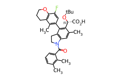 Cc1cccc(C(=O)N2CCc3c2cc(C)c([C@H](OC(C)(C)C)C(=O)O)c3-c2cc(F)c3c(c2C)CCCO3)c1C